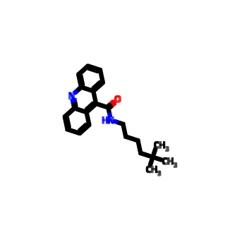 CC(C)(C)CCCCNC(=O)c1c2ccccc2nc2ccccc12